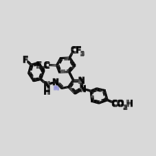 O=C(O)c1ccc(-n2cc(/C=N/Nc3ccc(F)cc3)c(-c3cc(C(F)(F)F)cc(C(F)(F)F)c3)n2)cc1